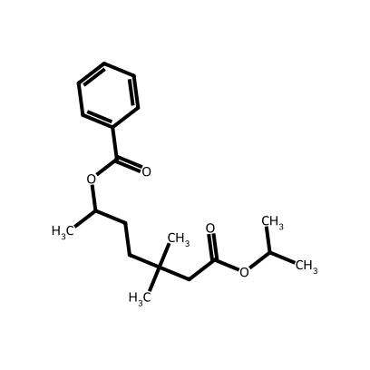 CC(C)OC(=O)CC(C)(C)CCC(C)OC(=O)c1ccccc1